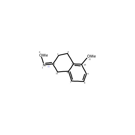 CO/N=C1\CCc2c(cccc2OC)C1